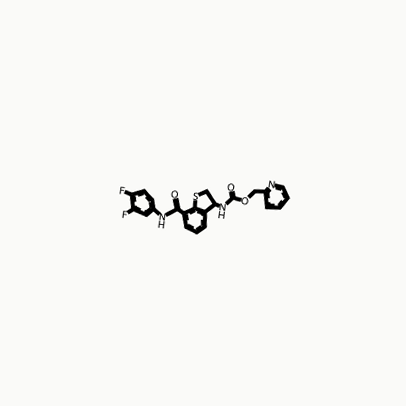 O=C(NC1CSc2c(C(=O)Nc3ccc(F)c(F)c3)cccc21)OCc1ccccn1